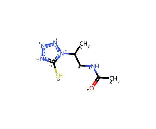 CC(=O)NCC(C)n1nnnc1S